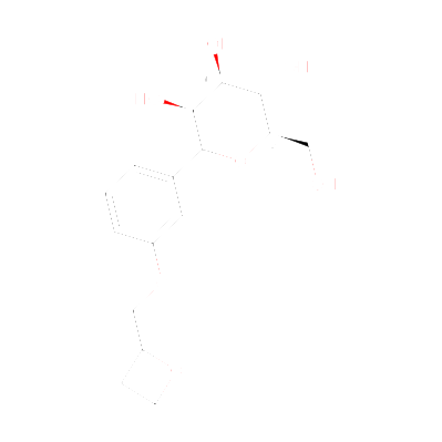 OC[C@H]1OC(c2cccc(OCC3CCO3)c2)[C@@H](O)[C@@H](O)[C@@H]1O